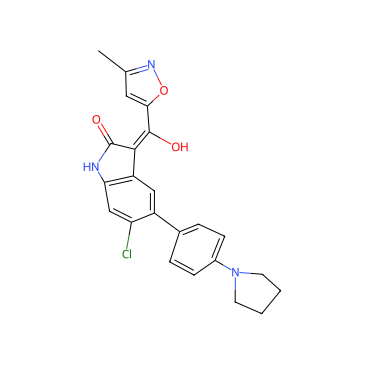 Cc1cc(C(O)=C2C(=O)Nc3cc(Cl)c(-c4ccc(N5CCCC5)cc4)cc32)on1